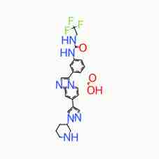 O=C(NCC(F)(F)F)Nc1cccc(-c2cnc3cc(-c4cnn(C5CCCNC5)c4)ccn23)c1.O=CO